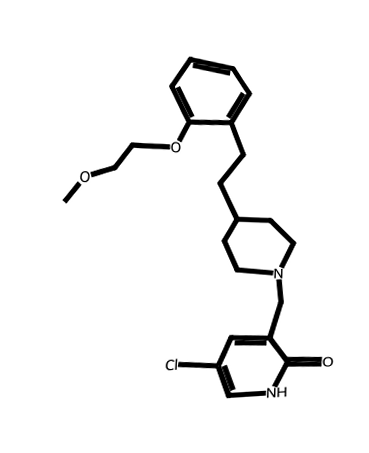 COCCOc1ccccc1CCC1CCN(Cc2cc(Cl)c[nH]c2=O)CC1